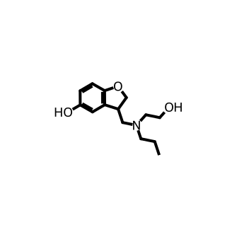 CCCN(CCO)CC1COc2ccc(O)cc21